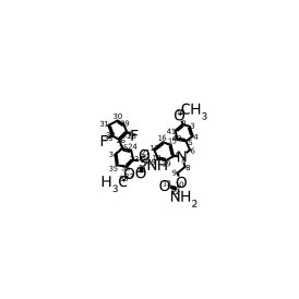 COc1ccc(CN(CCOC(N)=O)c2cccc(NS(=O)(=O)c3cc(-c4c(F)cccc4F)ccc3OC)c2)cc1